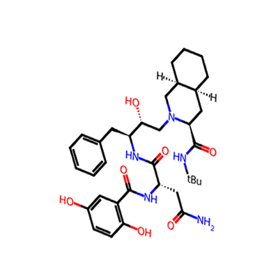 CC(C)(C)NC(=O)[C@@H]1C[C@@H]2CCCC[C@@H]2CN1C[C@@H](O)[C@H](Cc1ccccc1)NC(=O)[C@H](CC(N)=O)NC(=O)c1cc(O)ccc1O